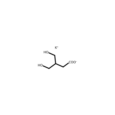 O=C([O-])CC(CO)CO.[K+]